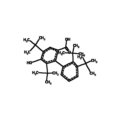 CC(C)(C)c1cc(C(=O)O)c(-c2cccc(C(C)(C)C)c2C(C)(C)C)c(C(C)(C)C)c1O